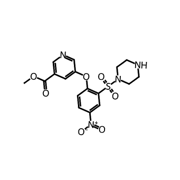 COC(=O)c1cncc(Oc2ccc([N+](=O)[O-])cc2S(=O)(=O)N2CCNCC2)c1